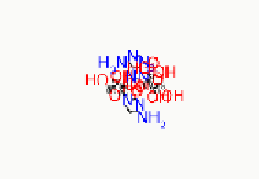 Nc1ccn([C@@H]2O[C@H](CO)[C@@H](O)[C@H]2O)c(=O)n1.Nc1ncnc2c1ncn2[C@]1(P(=O)(O)O)O[C@H](CO)[C@@H](O)[C@H]1O